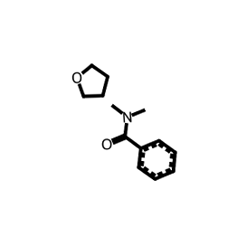 C1CCOC1.CN(C)C(=O)c1ccccc1